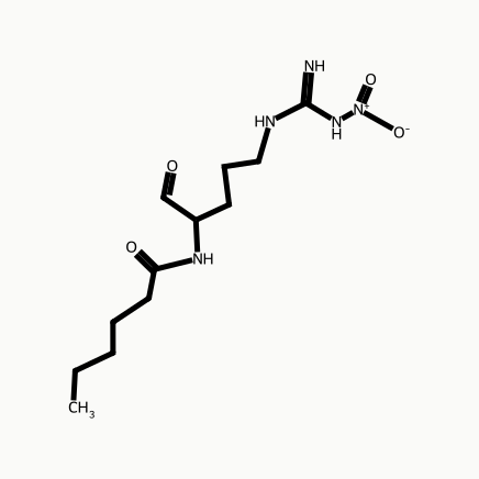 CCCCCC(=O)NC(C=O)CCCNC(=N)N[N+](=O)[O-]